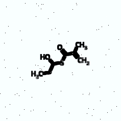 C=C(C)C(=O)SC(O)CC